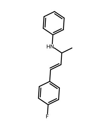 CC(/C=C/c1ccc(F)cc1)Nc1ccccc1